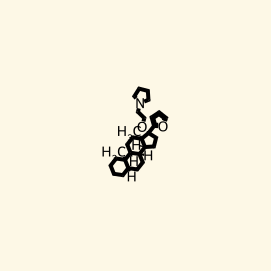 C[C@]12CCCC[C@H]1CC[C@@H]1[C@@H]2CC[C@@]2(C)[C@H]1CC[C@]2(OCCN1CCCC1)c1ccco1